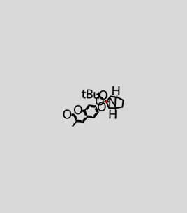 Cc1cc2ccc(O[C@@H]3C[C@H]4CC[C@@H](C3)N4C(=O)OC(C)(C)C)cc2oc1=O